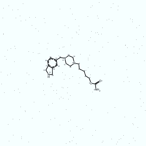 NC(=O)OCCCCCN1CCN(Cc2ccc3c(c2)CNC3)CC1